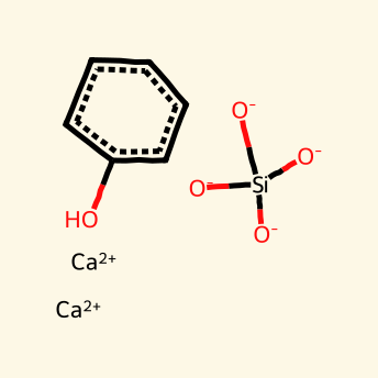 Oc1ccccc1.[Ca+2].[Ca+2].[O-][Si]([O-])([O-])[O-]